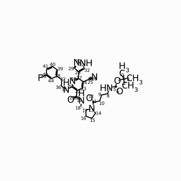 CC(C)(C)OC(=O)NCCCC(=O)N1CCC[C@@H]1CNC(=O)c1cc(C#N)c(-c2cn[nH]c2)nc1NCCc1cccc(F)c1